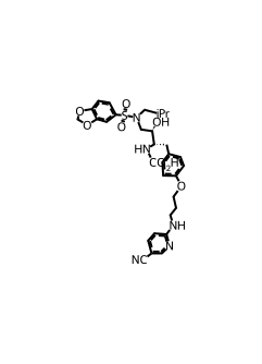 CC(C)CN(C[C@H](O)[C@H](Cc1ccc(OCCCNc2ccc(C#N)cn2)cc1)NC(=O)O)S(=O)(=O)c1ccc2c(c1)OCO2